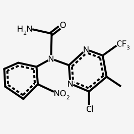 Cc1c(Cl)nc(N(C(N)=O)c2ccccc2[N+](=O)[O-])nc1C(F)(F)F